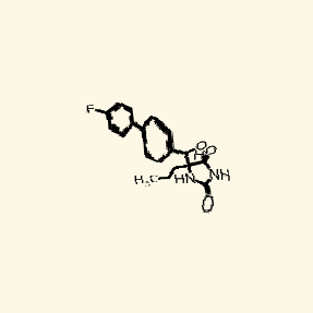 CCCC1(C(O)c2ccc(-c3ccc(F)cc3)cc2)NC(=O)NC1=O